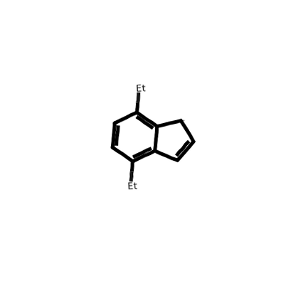 CCc1ccc(CC)c2c1[CH]C=C2